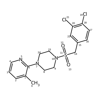 Cc1cccnc1N1CCN(S(=O)(=O)Cc2ccc(Cl)c(Cl)c2)CC1